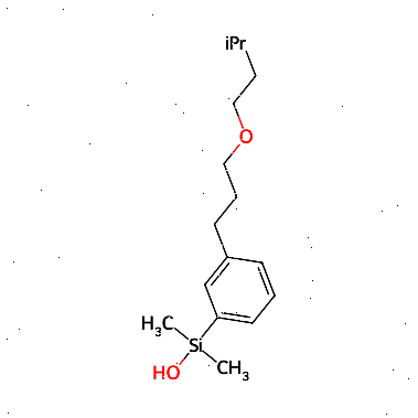 CC(C)CCOCCCc1cccc([Si](C)(C)O)c1